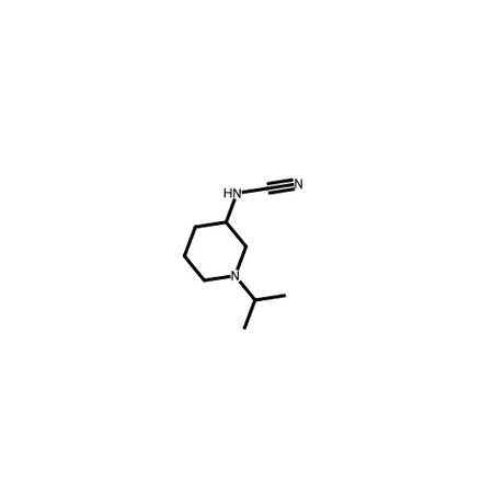 CC(C)N1CCCC(NC#N)C1